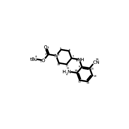 CC(C)(C)OC(=O)N1CCC(Nc2c(N)cccc2C#N)CC1